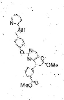 COC(=O)CC(c1cccc(C(=O)OC)c1)c1ccnc(Oc2ccc(CNc3ccccn3)cc2)n1